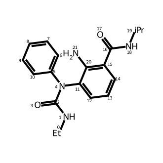 CCNC(=O)N(c1ccccc1)c1cc[c]c(C(=O)NC(C)C)c1N